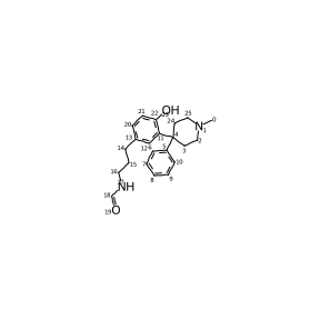 CN1CCC(c2ccccc2)(c2cc(CCCNC=O)ccc2O)CC1